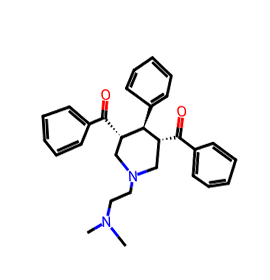 CN(C)CCN1C[C@H](C(=O)c2ccccc2)[C@@H](c2ccccc2)[C@H](C(=O)c2ccccc2)C1